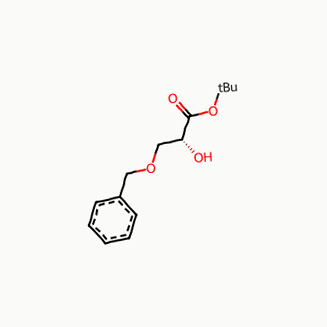 CC(C)(C)OC(=O)[C@H](O)COCc1ccccc1